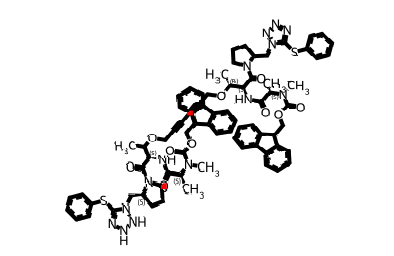 CC(OCC#CC#CCO[C@H](C)[C@H](NC(=O)[C@H](C)N(C)C(=O)OCC1c2ccccc2-c2ccccc21)C(=O)N1CCCC1Cn1nnnc1Sc1ccccc1)[C@H](NC(=O)[C@H](C)N(C)C(=O)OCC1c2ccccc2-c2ccccc21)C(=O)N1CCC[C@H]1CN1NNN=C1Sc1ccccc1